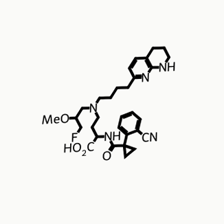 COC(CF)CN(CCCCc1ccc2c(n1)NCCC2)CCC(NC(=O)C1(c2ccccc2C#N)CC1)C(=O)O